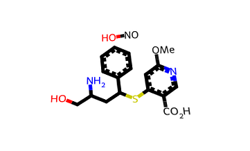 COc1cc(SC(CC(N)CO)c2ccccc2)c(C(=O)O)cn1.O=NO